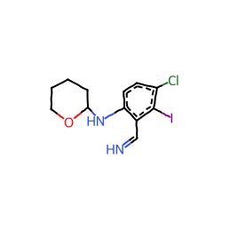 N=Cc1c(NC2CCCCO2)ccc(Cl)c1I